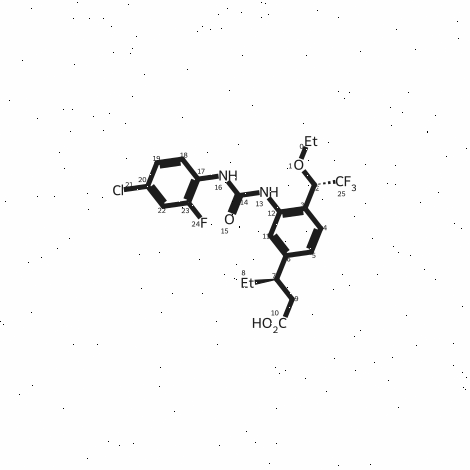 CCO[C@@H](c1ccc([C@H](CC)CC(=O)O)cc1NC(=O)Nc1ccc(Cl)cc1F)C(F)(F)F